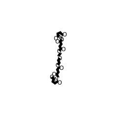 O=C(CCC(=O)OCCOCCOC(=O)CCC(=O)ON1C(=O)CCC1=O)CN1C(=O)CCC1=O